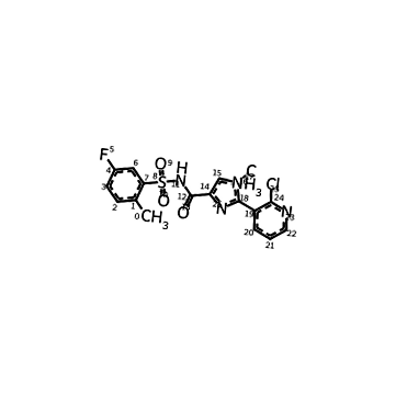 Cc1ccc(F)cc1S(=O)(=O)NC(=O)c1cn(C)c(-c2cccnc2Cl)n1